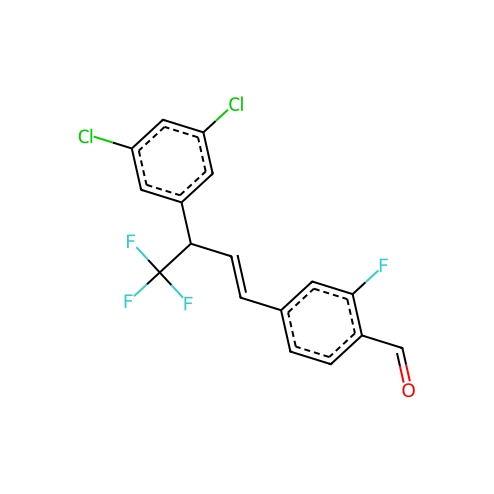 O=Cc1ccc(/C=C/C(c2cc(Cl)cc(Cl)c2)C(F)(F)F)cc1F